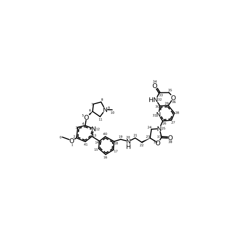 COc1cc(O[C@H]2CCN(C)C2)nc(-c2cccc(CNCC[C@H]3CN(c4ccc5c(n4)NC(=O)CO5)C(=O)O3)c2)c1